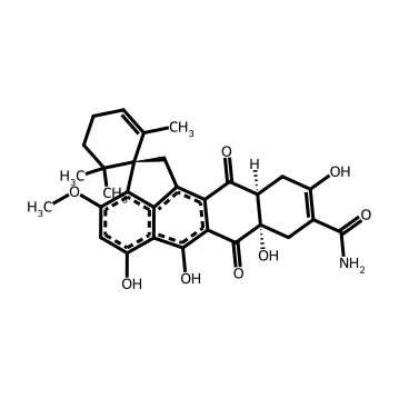 COc1cc(O)c2c(O)c3c(c4c2c1[C@@]1(C4)C(C)=CCCC1(C)C)C(=O)[C@H]1CC(O)=C(C(N)=O)C[C@@]1(O)C3=O